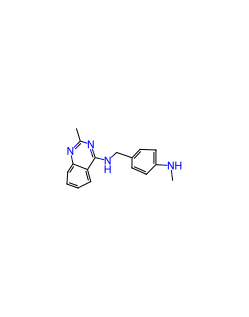 CNc1ccc(CNc2nc(C)nc3ccccc23)cc1